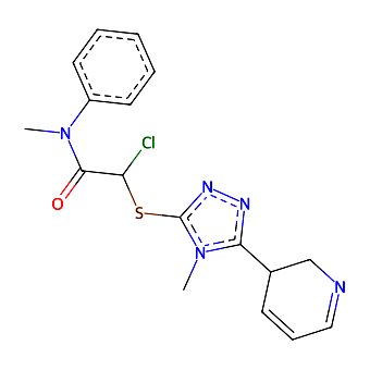 CN(C(=O)C(Cl)Sc1nnc(C2C=CC=NC2)n1C)c1ccccc1